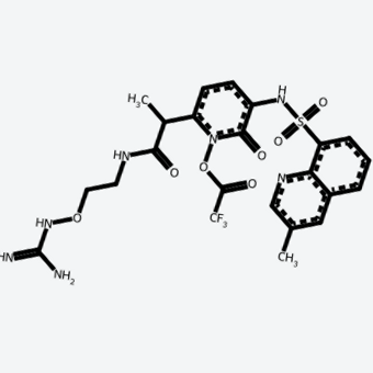 Cc1cnc2c(S(=O)(=O)Nc3ccc(C(C)C(=O)NCCONC(=N)N)n(OC(=O)C(F)(F)F)c3=O)cccc2c1